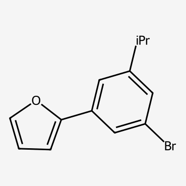 CC(C)c1cc(Br)cc(-c2ccco2)c1